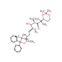 C/C(=C\CCC(C)O[Si](c1ccccc1)(c1ccccc1)C(C)(C)C)C(O)[C@@H](C)C(=O)C(C)(C)[C@@H]1CCOC(C)(C)O1